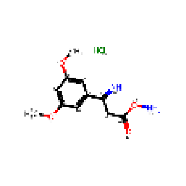 COc1cc(OC)cc(C(=N)CC(=O)ON)c1.Cl